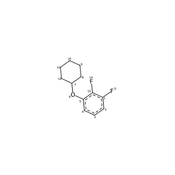 Fc1cccc(OC2CCCCC2)c1F